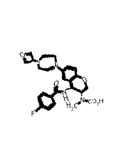 CN(C(=O)O)[C@H]1COc2ccc(N3CCN(C4COC4)CC3)cc2[C@@H]1NC(=O)c1ccc(F)cc1